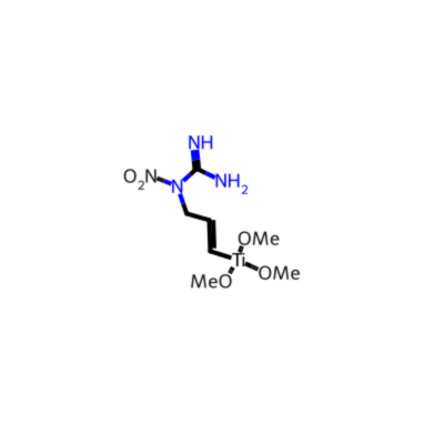 C[O][Ti]([CH]=CCN(C(=N)N)[N+](=O)[O-])([O]C)[O]C